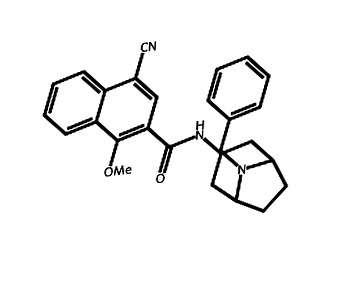 COc1c(C(=O)NC2CC3CCC(C2)N3Cc2ccccc2)cc(C#N)c2ccccc12